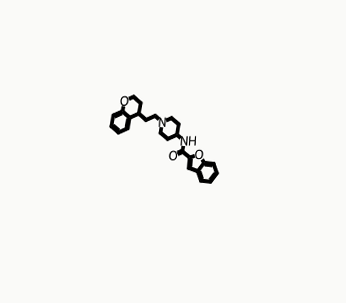 O=C(NC1CCN(CCC2CCOc3ccccc32)CC1)c1cc2ccccc2o1